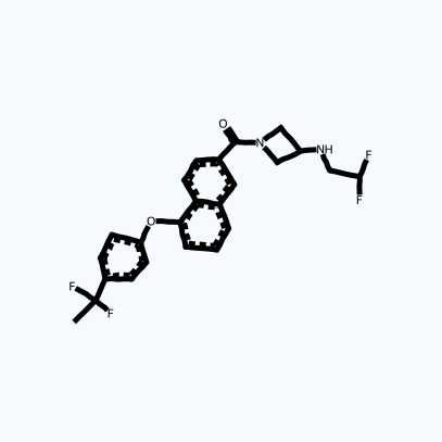 CC(F)(F)c1ccc(Oc2cccc3cc(C(=O)N4CC(NCC(F)F)C4)ccc23)cc1